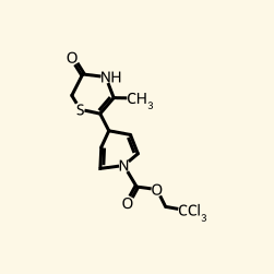 CC1=C(C2C=CN(C(=O)OCC(Cl)(Cl)Cl)C=C2)SCC(=O)N1